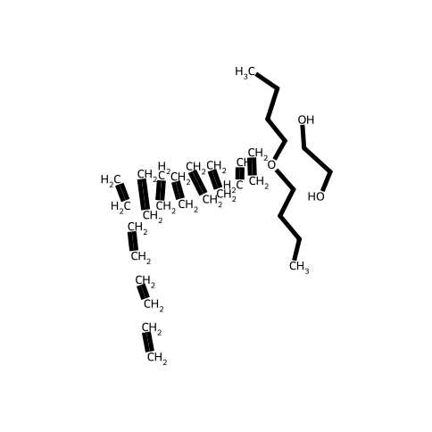 C=C.C=C.C=C.C=C.C=C.C=C.C=C.C=C.C=C.C=C.C=C.CCCCOCCCC.OCCO